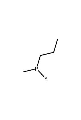 CCC[P](C)[Y]